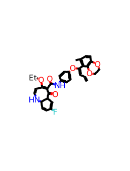 C=C/C=C(/Oc1ccc(NC(=O)/C2=C(OCC)/C=C\NC3C=CC(F)=CC3C2=O)cc1)c1c(C)ccc2c1OCCO2